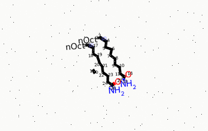 C=C.CCCCCCCC/C=C\CCCCCCCC(N)=O.CCCCCCCC/C=C\CCCCCCCC(N)=O